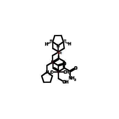 CC(C)(CO)C(=O)N(CCN1[C@@H]2CC[C@H]1C[C@@H](c1cccc(C(N)=O)c1)C2)CC1CCCC1